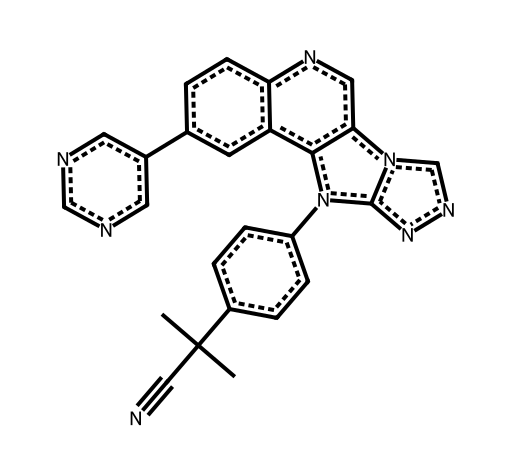 CC(C)(C#N)c1ccc(-n2c3c4cc(-c5cncnc5)ccc4ncc3n3cnnc23)cc1